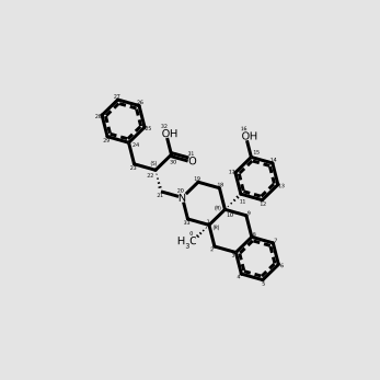 C[C@@]12Cc3ccccc3C[C@]1(c1cccc(O)c1)CCN(C[C@H](Cc1ccccc1)C(=O)O)C2